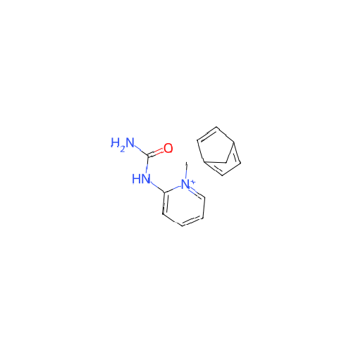 C1=CC2=CC=C1C2.C[n+]1ccccc1NC(N)=O